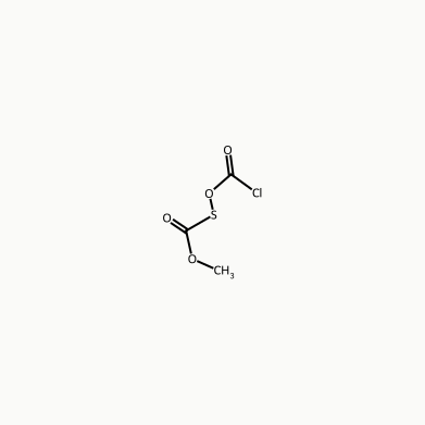 COC(=O)SOC(=O)Cl